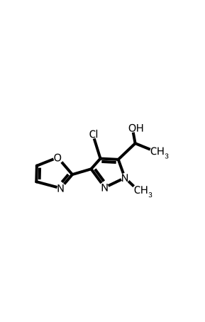 CC(O)c1c(Cl)c(-c2ncco2)nn1C